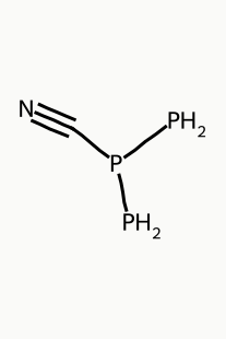 N#CP(P)P